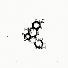 Clc1ccc2c(c1)N=C(N1CCNCC1)c1cscc1N2